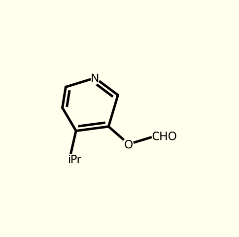 CC(C)c1ccncc1OC=O